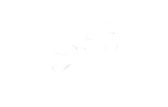 O=C(Nc1cccc(C(=O)O)c1)Nc1ccccc1Br